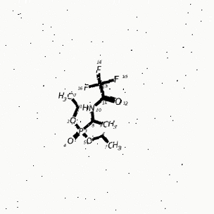 CCOP(=O)(OCC)C(C)NC(=O)C(F)(F)F